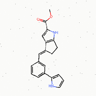 COC(=O)c1cc2c([nH]1)CC/C2=C\c1cccc(-c2ccc[nH]2)c1